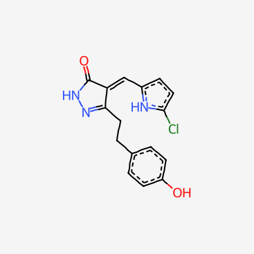 O=C1NN=C(CCc2ccc(O)cc2)/C1=C\c1ccc(Cl)[nH]1